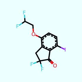 O=C1c2c(I)ccc(OCC(F)F)c2CC1(F)F